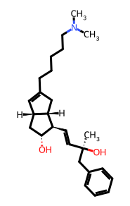 CN(C)CCCCCC1=C[C@H]2C[C@@H](O)[C@H](/C=C/[C@@](C)(O)Cc3ccccc3)[C@H]2C1